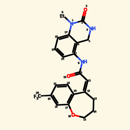 CCN1C(=O)NCc2c(NC(=O)/C=C3/CCCOc4cc(C(F)(F)F)ccc43)cccc21